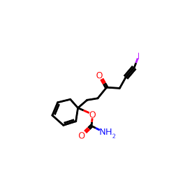 NC(=O)OC1(CCC(=O)CC#CI)C=CC=CC1